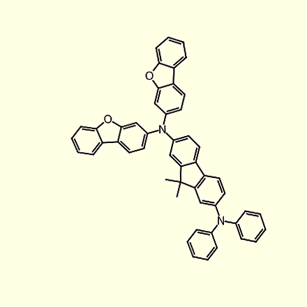 CC1(C)c2cc(N(c3ccccc3)c3ccccc3)ccc2-c2ccc(N(c3ccc4c(c3)oc3ccccc34)c3ccc4c(c3)oc3ccccc34)cc21